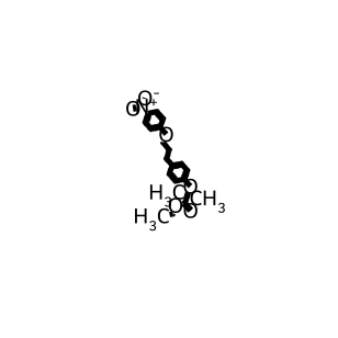 CCOC(=O)C(C)(C)Oc1ccc(CCCOc2ccc([N+](=O)[O-])cc2)cc1